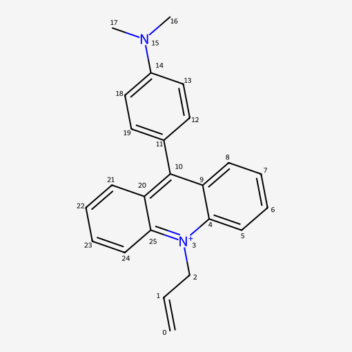 C=CC[n+]1c2ccccc2c(-c2ccc(N(C)C)cc2)c2ccccc21